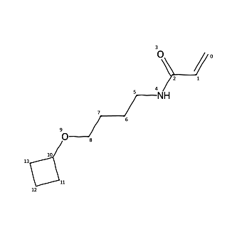 C=CC(=O)NCCCCOC1CCC1